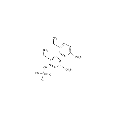 CCOC(=O)c1ccc(CN)cc1.CCOC(=O)c1ccc(CN)cc1.O=P(O)(O)O